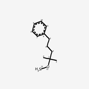 CC(C)(CCCc1ccccc1)O[SiH3]